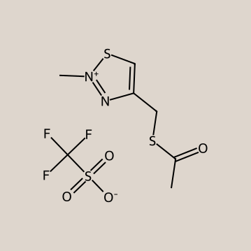 CC(=O)SCc1cs[n+](C)n1.O=S(=O)([O-])C(F)(F)F